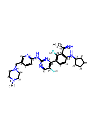 CCN1CCN(Cc2ccc(Nc3ncc(F)c(-c4ccc(NC5CCCC5)c(C(C)=N)c4F)n3)nc2)CC1